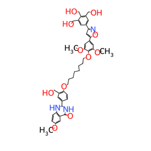 COc1ccc2c(c1)C(=O)NC(c1ccc(OCCCCCCCCOc3c(OC)cc(-c4cc(-c5cc(CO)c(CO)c(CO)c5)no4)cc3OC)c(CO)c1)N2